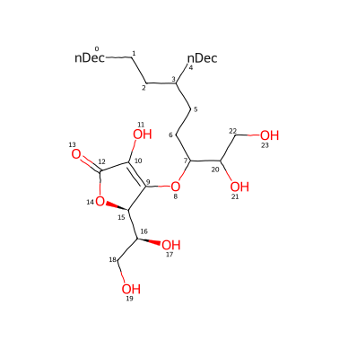 CCCCCCCCCCCCC(CCCCCCCCCC)CCC(OC1=C(O)C(=O)O[C@@H]1[C@@H](O)CO)C(O)CO